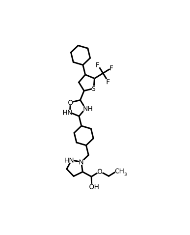 CCOC(O)C1CCNN1CC1CCC(C2NOC(C3CC(C4CCCCC4)C(C(F)(F)F)S3)N2)CC1